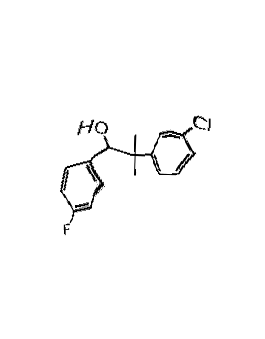 CC(C)(c1cccc(Cl)c1)C(O)c1ccc(F)cc1